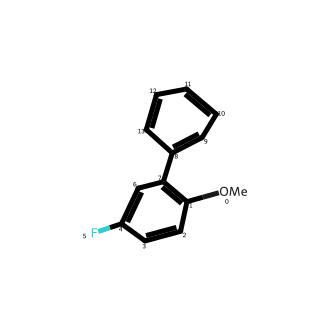 COc1ccc(F)cc1-c1ccccc1